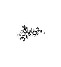 C[C@H]1[C@H](c2ccc(F)c(F)c2O)[C@H](C(=O)Nc2ccnc(C(N)=O)c2)O[C@]1(C)C(F)(F)F